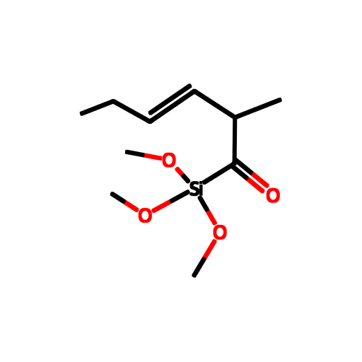 CCC=CC(C)C(=O)[Si](OC)(OC)OC